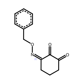 O=C1CCC/C(=N/OCc2ccccc2)C1=O